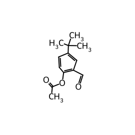 CC(=O)Oc1ccc(C(C)(C)C)cc1C=O